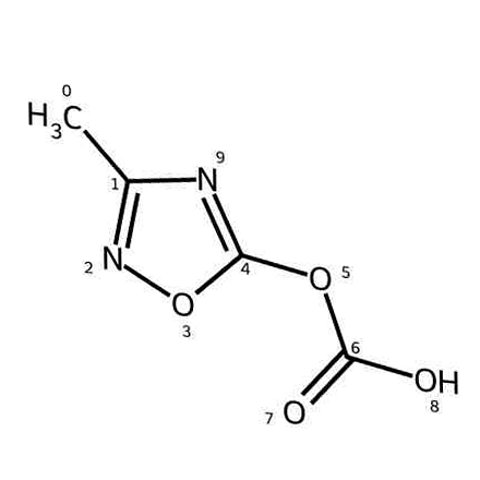 Cc1noc(OC(=O)O)n1